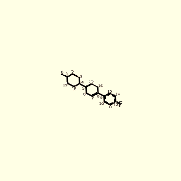 CC1CCC(C2CC=C(c3ccc(F)cc3)CC2)CC1